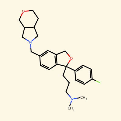 CN(C)CCCC1(c2ccc(F)cc2)OCc2cc(CN3CC4CCOCC4C3)ccc21